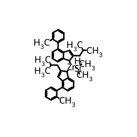 Cc1ccccc1-c1cccc2c1C=C(CC(C)C)[CH]2[Zr]([CH]1C(CC(C)C)=Cc2c(-c3ccccc3C)cccc21)[SiH](C)C